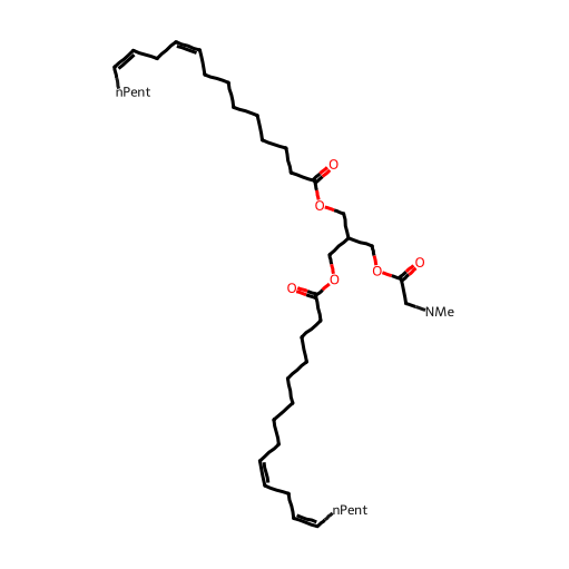 CCCCC/C=C\C/C=C\CCCCCCCC(=O)OCC(COC(=O)CCCCCCC/C=C\C/C=C\CCCCC)COC(=O)CNC